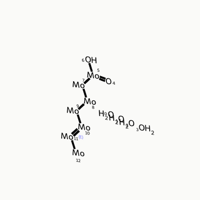 O.O.O.O.[O]=[Mo]([OH])[Mo][Mo][Mo]/[Mo]=[Mo]/[Mo]